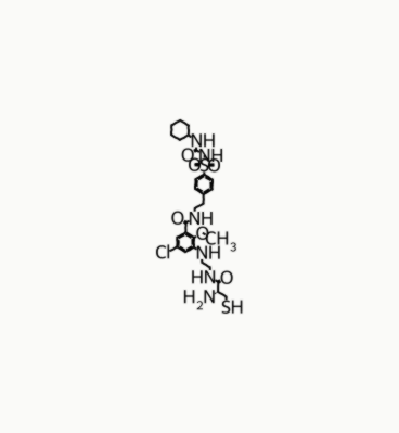 COc1c(NCCNC(=O)[C@@H](N)CS)cc(Cl)cc1C(=O)NCCc1ccc(S(=O)(=O)NC(=O)NC2CCCCC2)cc1